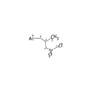 CC(=O)CC(C)CC(=O)Cl